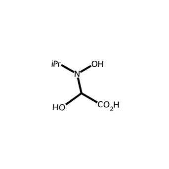 CC(C)N(O)C(O)C(=O)O